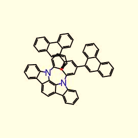 c1ccc(-n2c3ccccc3c3ccc4c5ccccc5n(-c5cc(-c6cc7ccccc7c7ccccc67)cc(-c6cc7ccccc7c7ccccc67)c5)c4c32)cc1